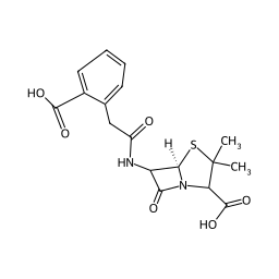 CC1(C)S[C@@H]2C(NC(=O)Cc3ccccc3C(=O)O)C(=O)N2C1C(=O)O